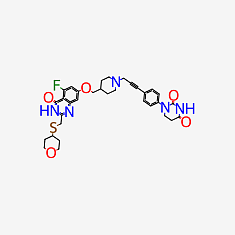 O=C1CCN(c2ccc(C#CCN3CCC(COc4cc(F)c5c(=O)[nH]c(CSC6CCOCC6)nc5c4)CC3)cc2)C(=O)N1